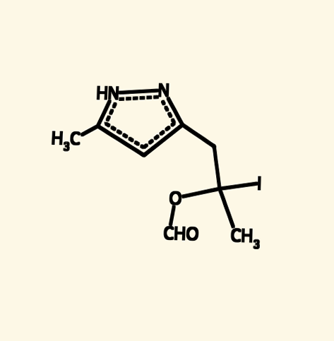 Cc1cc(CC(C)(I)OC=O)n[nH]1